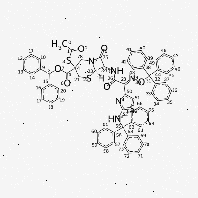 CC(=O)SC1(C(=O)OC(c2ccccc2)c2ccccc2)CS[C@@H]2C(NC(=O)C(=NOC(c3ccccc3)(c3ccccc3)c3ccccc3)c3csc(NC(c4ccccc4)(c4ccccc4)c4ccccc4)n3)C(=O)N2C1